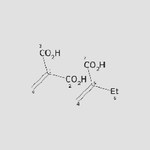 C=C(C(=O)O)C(=O)O.C=C(CC)C(=O)O